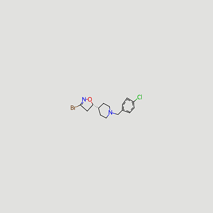 Clc1ccc(CN2CCC([C@@H]3CC(Br)=NO3)CC2)cc1